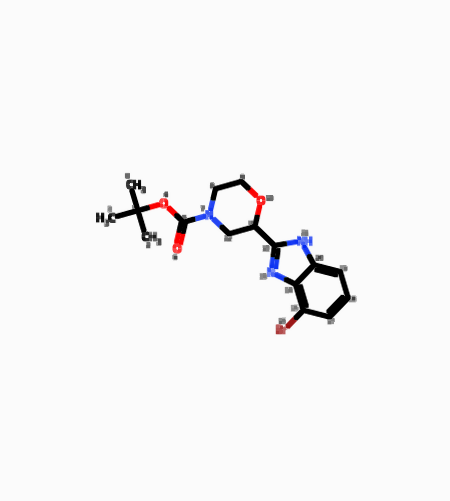 CC(C)(C)OC(=O)N1CCOC(c2nc3c(Br)cccc3[nH]2)C1